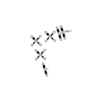 O=[As]([O-])([O-])[O-].O=[As]([O-])([O-])[O-].O=[As]([O-])([O-])[O-].[Fe+3].[O]=[U+2]=[O].[O]=[U+2]=[O].[O]=[U+2]=[O]